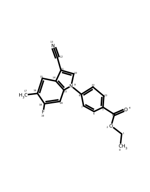 CCOC(=O)c1ccc(-n2cc(C#N)c3cc(C)c(F)cc32)cc1